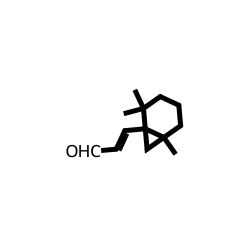 CC1(C)CCCC2(C)CC12/C=C/C=O